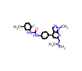 Cc1ccc(F)c(NC(=O)Nc2ccc(-c3cc(CN(C)C)nc4c3cnn4C)cc2)c1